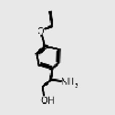 CCOc1ccc(C(N)CO)cc1